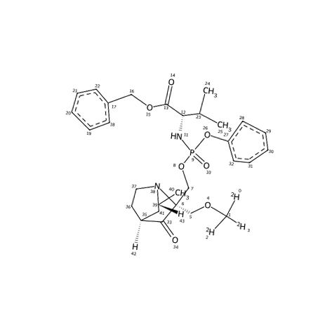 [2H]C([2H])([2H])OC[C@]1(COP(=O)(N[C@H](C(=O)OCc2ccccc2)C(C)C)Oc2ccccc2)C(=O)[C@H]2CCN1[C@H](C)C2